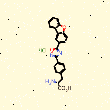 Cl.N[C@@H](Cc1ccc(-c2noc(-c3ccc4oc5ccccc5c4c3)n2)cc1)C(=O)O